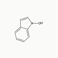 On1ccc2ccccc21